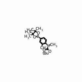 Cc1cc(B2OC(C)(C)C(C)(C)O2)ccc1N(C)C(=O)OC(C)(C)C